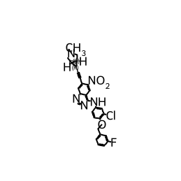 CN1C[C@@H]2[C@H](C#Cc3cc4ncnc(Nc5ccc(OCc6cccc(F)c6)c(Cl)c5)c4cc3[N+](=O)[O-])[C@@H]2C1